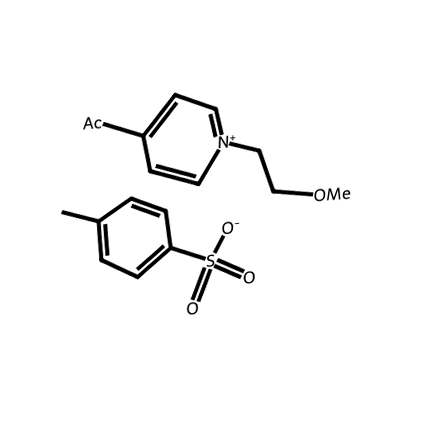 COCC[n+]1ccc(C(C)=O)cc1.Cc1ccc(S(=O)(=O)[O-])cc1